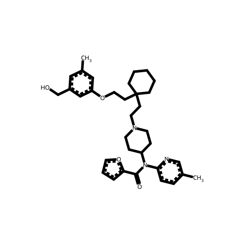 Cc1ccc(N(C(=O)c2ccco2)C2CCN(CCC3(CCOc4cc(C)cc(CO)c4)CCCCC3)CC2)nc1